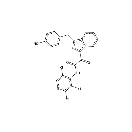 N#Cc1ccc(Cc2cc(C(=O)C(=O)Nc3c(Cl)cnc(Cl)c3Cl)c3ccccn23)cc1